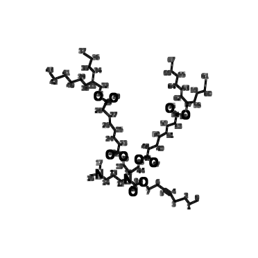 CCCCC#CCCOC(=O)N(CCCN(C)C)C(COC(=O)CCCCCCC(=O)OCC(CCCC)CCCCCC)COC(=O)CCCCCCC(=O)OC(CCCC)CCCCCC